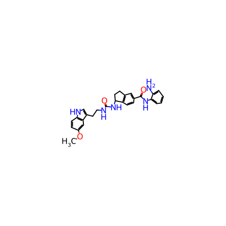 COc1ccc2[nH]cc(CCNC(=O)NC3CCc4cc(C(=O)Nc5ccccc5N)ccc43)c2c1